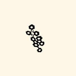 c1ccc(-c2ccc3c(c2)C2(c4ccccc4-c4ccccc42)c2cc(N4c5ccccc5N(c5ccccc5)c5ccccc54)ccc2-3)cc1